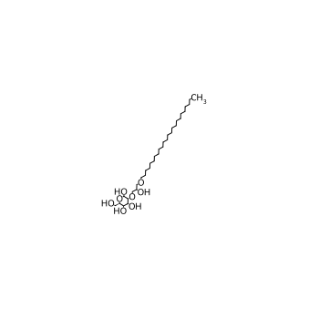 CCCCCCCCCCCCCCCCCCCCCCCCOCC(O)CO[C@@H]1[C@@H](O)[C@@H](O)[C@@H](CO)O[C@H]1O